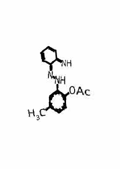 CC(=O)Oc1ccc(C)cc1N/N=C1/C=CC=CC1=N